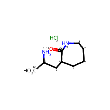 Cl.NC(CC1CCCCNC1=O)C(=O)O